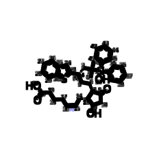 CC(C)(C[C@H](CC[C@H]1C(=O)C[C@H](O)[C@@H]1C/C=C\CCCC(=O)O)c1cc2ccccc2s1)[Si](O)(c1ccccc1)c1ccccc1